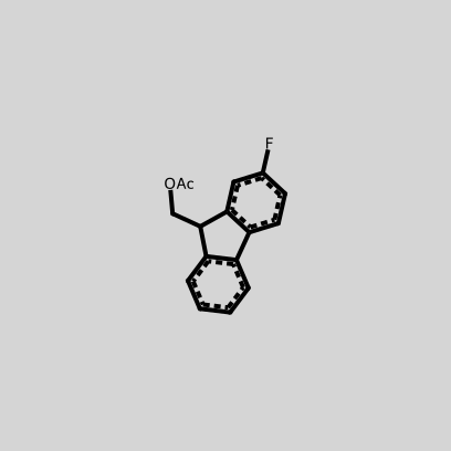 CC(=O)OCC1c2ccccc2-c2ccc(F)cc21